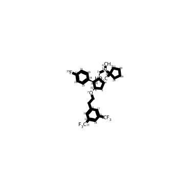 CN(C[C@@H]1CC[C@H](OCCc2cc(C(F)(F)F)cc(C(F)(F)F)c2)[C@H]1c1ccc(F)cc1)C1(C(=O)O)CCCC1